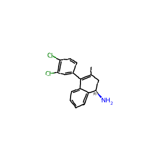 CC1=C(c2ccc(Cl)c(Cl)c2)c2ccccc2[C@H](N)C1